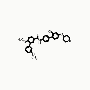 COc1cccc(-c2cc(C(=O)Nc3ccc(-c4ccc(OC5CCNCC5)cc4Cl)cc3)ccc2OC)c1